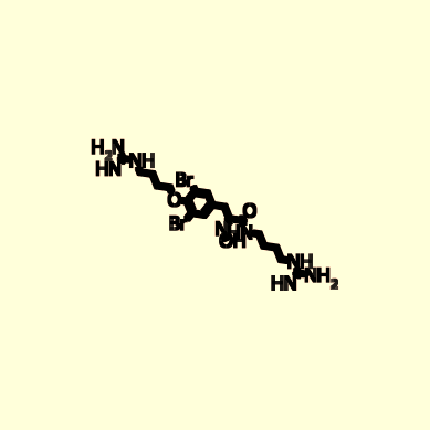 N=C(N)NCCCCNC(=O)C(Cc1cc(Br)c(OCCCCNC(=N)N)c(Br)c1)=NO